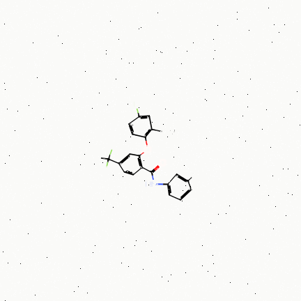 COc1cc(F)ccc1Oc1cc(C(F)(F)C(F)(F)F)ccc1C(=O)Nc1cccc(C(=O)O)c1